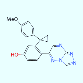 COc1ccc(C2(c3cc(O)ccc3-c3cnc4nncn4n3)CC2)cc1